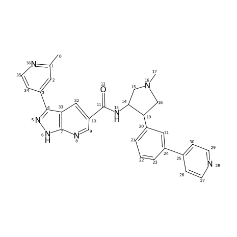 Cc1cc(-c2n[nH]c3ncc(C(=O)NC4CN(C)CC4c4cccc(-c5ccncc5)c4)cc23)ccn1